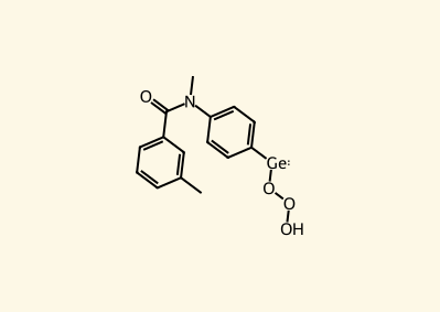 Cc1cccc(C(=O)N(C)c2cc[c]([Ge][O]OO)cc2)c1